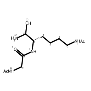 CC(=O)NCCCC[C@H](NC(=O)CNC(C)=O)C(N)O